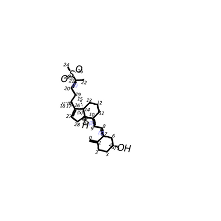 C=C1CC[C@H](O)C/C1=C/C=C1\CCC[C@]2(C)C([C@H](C)C/C=C(\C)S(C)(=O)=O)=CC[C@@H]12